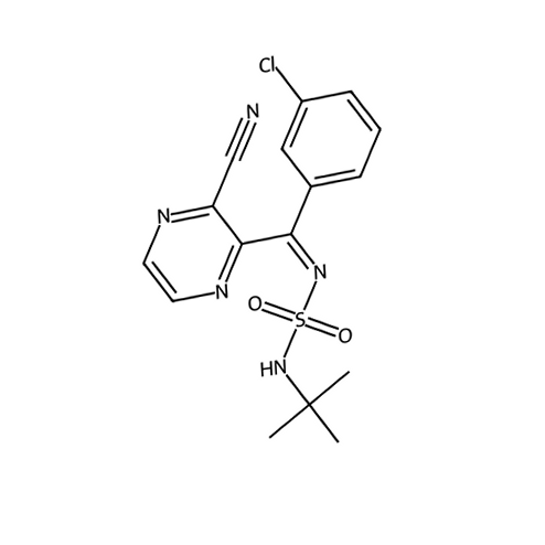 CC(C)(C)NS(=O)(=O)N=C(c1cccc(Cl)c1)c1nccnc1C#N